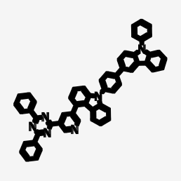 c1ccc(-c2nc(-c3ccccc3)nc(-c3cncc(-c4cccc5c4c4ccccc4n5-c4ccc(-c5ccc6c(c5)c5ccccc5n6-c5ccccc5)cc4)c3)n2)cc1